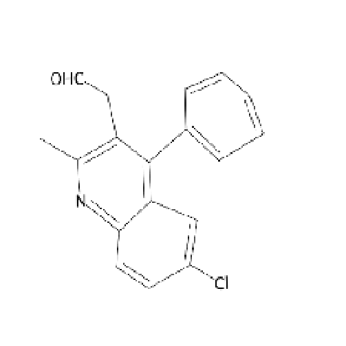 Cc1nc2ccc(Cl)cc2c(-c2ccccc2)c1CC=O